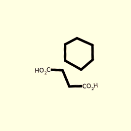 C1CCCCC1.O=C(O)CCC(=O)O